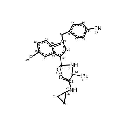 CC(C)(C)[C@H](NC(=O)c1nn(Cc2ccc(C#N)cc2)c2ccc(F)cc12)C(=O)NC1CC1